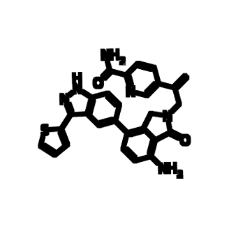 C=C(CN1Cc2c(-c3ccc4[nH]nc(-c5cccs5)c4c3)ccc(N)c2C1=O)c1ccc(C(N)=O)nc1